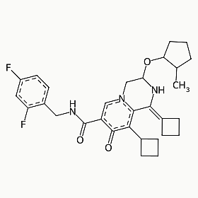 CC1CCCC1OC1Cn2cc(C(=O)NCc3ccc(F)cc3F)c(=O)c(C3CCC3)c2C(=C2CCC2)N1